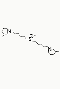 CC1CCCN(CCCCCC[S+]([O-])CCCCCCN2CCCC(C)C2)C1